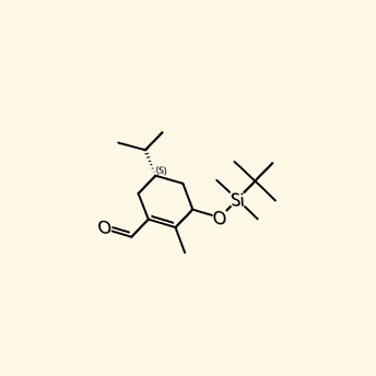 CC1=C(C=O)C[C@H](C(C)C)CC1O[Si](C)(C)C(C)(C)C